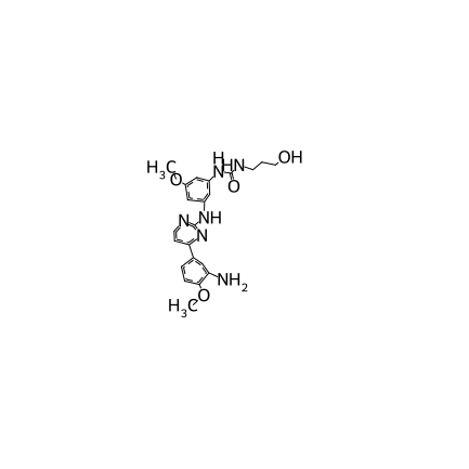 COc1cc(NC(=O)NCCCO)cc(Nc2nccc(-c3ccc(OC)c(N)c3)n2)c1